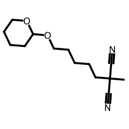 CC(C#N)(C#N)CCCCCOC1CCCCO1